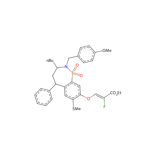 CCCCC1CC(c2ccccc2)c2cc(SC)c(O/C=C(\F)C(=O)OCC)cc2S(=O)(=O)N1Cc1ccc(OC)cc1